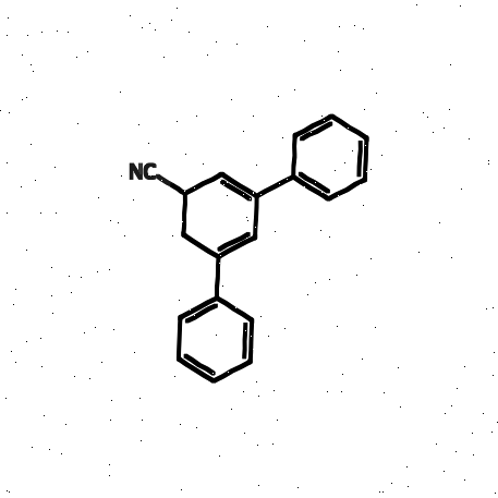 N#CC1C=C(c2ccccc2)C=C(c2ccccc2)C1